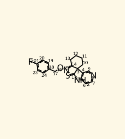 NC(=S)C1(c2cccnc2)CCCCC1=NOCc1ccc(F)cc1